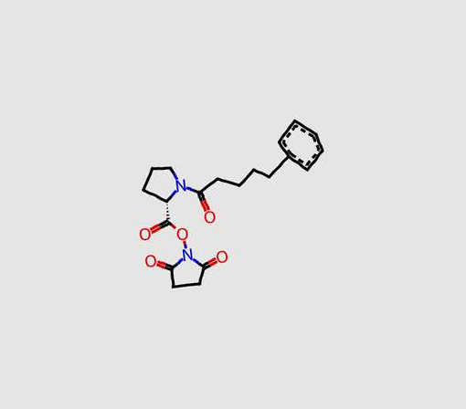 O=C(ON1C(=O)CCC1=O)[C@@H]1CCCN1C(=O)CCCCc1ccccc1